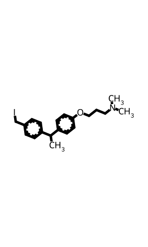 CC(c1ccc(CI)cc1)c1ccc(OCCCN(C)C)cc1